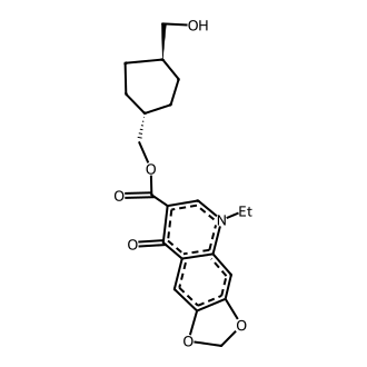 CCn1cc(C(=O)OC[C@H]2CC[C@H](CO)CC2)c(=O)c2cc3c(cc21)OCO3